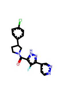 O=C(c1[nH]nc(-c2ccnnc2)c1F)N1CCC(c2ccc(Cl)cc2)C1